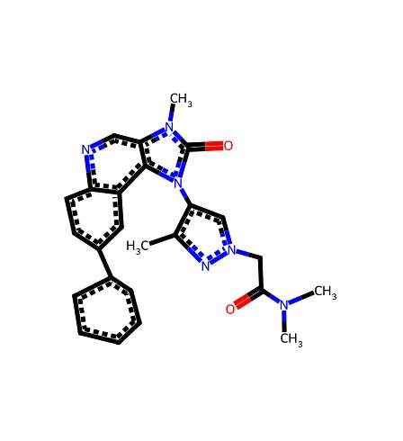 Cc1nn(CC(=O)N(C)C)cc1-n1c(=O)n(C)c2cnc3ccc(-c4ccccc4)cc3c21